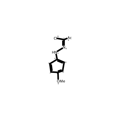 COc1ccc(NN=C(Cl)C(C)=O)cc1